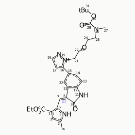 CCOC(=O)c1cc(C)[nH]c1/C=C1\C(=O)Nc2ccc(-c3ccnn3CCOCCN(C)C(=O)OC(C)(C)C)cc21